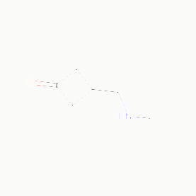 CNCC1CC(=O)C1